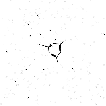 Cc1nc(N)cc(I)n1